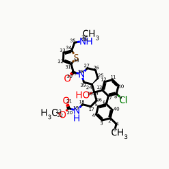 CCc1cccc(-c2c(Cl)cccc2[C@](O)(CCCNC(=O)OC)[C@@H]2CCCN(C(=O)c3ccc(CNC)s3)C2)c1